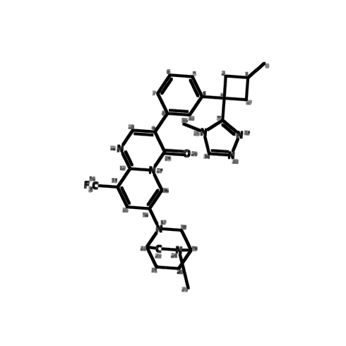 CC1CC(c2cccc(-c3cnc4c(C(F)(F)F)cc(N5CC6CCC5CN6C)cn4c3=O)c2)(c2nncn2C)C1